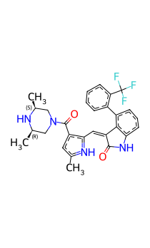 Cc1cc(C(=O)N2C[C@@H](C)N[C@@H](C)C2)c(C=C2C(=O)Nc3cccc(-c4ccccc4C(F)(F)F)c32)[nH]1